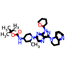 C[C@@H]1CC(NC(=O)OC(C)(C)C)CCN1c1cnc2c(N3CCCc4ncccc43)nn(C3CCCCO3)c2n1